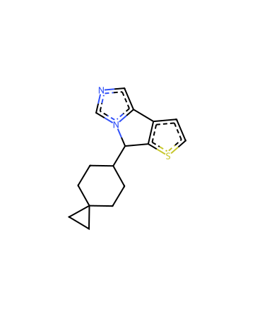 c1cc2c(s1)C(C1CCC3(CC1)CC3)n1cncc1-2